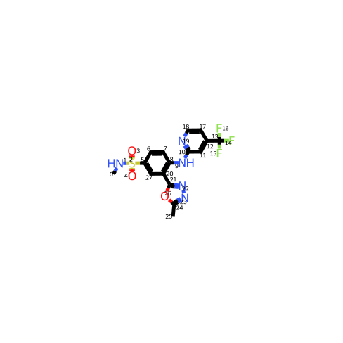 CNS(=O)(=O)c1ccc(Nc2cc(C(F)(F)F)ccn2)c(-c2nnc(C)o2)c1